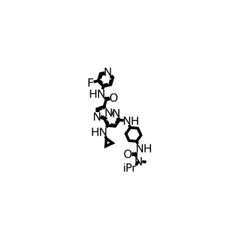 CC(C)N(C)C(=O)NC1CCC(Nc2cc(NC3CC3)c3ncc(C(=O)Nc4ccncc4F)n3n2)CC1